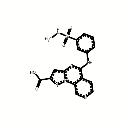 CNS(=O)(=O)c1cccc(Nc2nc3cc(C(=O)O)nn3c3cnccc23)c1